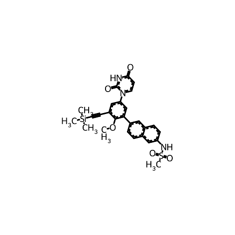 COc1c(C#C[Si](C)(C)C)cc(-n2ccc(=O)[nH]c2=O)cc1-c1ccc2cc(NS(C)(=O)=O)ccc2c1